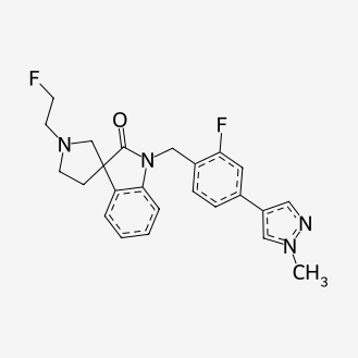 Cn1cc(-c2ccc(CN3C(=O)C4(CCN(CCF)C4)c4ccccc43)c(F)c2)cn1